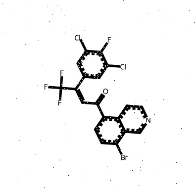 O=C(/C=C(\c1cc(Cl)c(F)c(Cl)c1)C(F)(F)F)c1ccc(Br)c2cnccc12